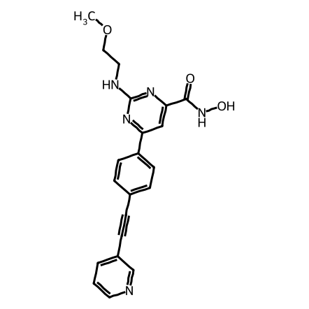 COCCNc1nc(C(=O)NO)cc(-c2ccc(C#Cc3cccnc3)cc2)n1